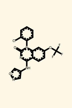 O=c1nc(Nc2cnoc2)c2ccc(OC(F)(F)F)cc2n1-c1ccccc1Cl